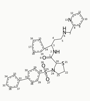 O=C(NC(CCNCc1ccccn1)c1ccccc1)C1SCCN1S(=O)(=O)c1ccc(-c2ccccc2)cc1